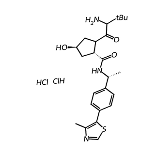 Cc1ncsc1-c1ccc([C@@H](C)NC(=O)[C@@H]2C[C@@H](O)CC2C(=O)C(N)C(C)(C)C)cc1.Cl.Cl